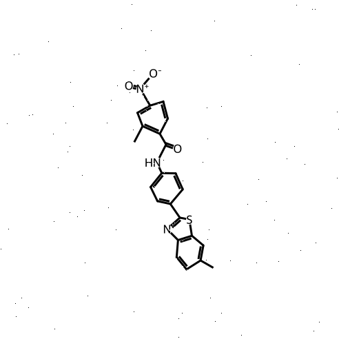 Cc1ccc2nc(-c3ccc(NC(=O)c4ccc([N+](=O)[O-])cc4C)cc3)sc2c1